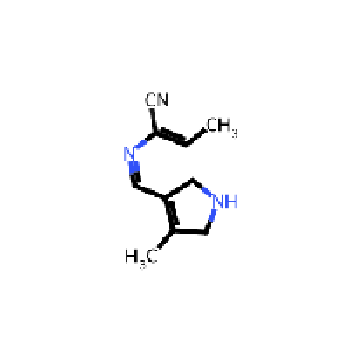 CC=C(C#N)/N=C\C1=C(C)CNC1